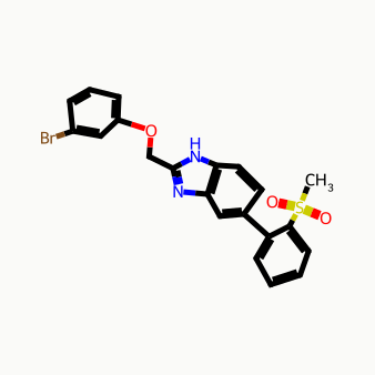 CS(=O)(=O)c1ccccc1-c1ccc2[nH]c(COc3cccc(Br)c3)nc2c1